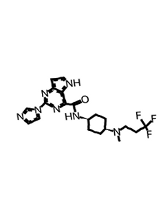 CN(CCC(F)(F)F)[C@H]1CC[C@@H](NC(=O)c2nc(-n3ccnc3)nc3cc[nH]c23)CC1